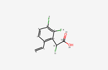 C=Cc1ccc(F)c(F)c1C(F)C(=O)O